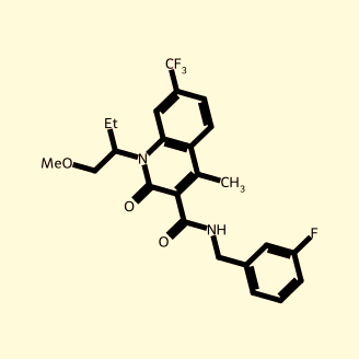 CCC(COC)n1c(=O)c(C(=O)NCc2cccc(F)c2)c(C)c2ccc(C(F)(F)F)cc21